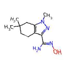 Cn1nc(/C(N)=N/O)c2c1CC(C)(C)CC2